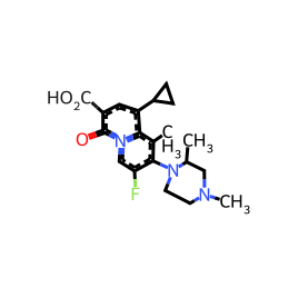 Cc1c(N2CCN(C)CC2C)c(F)cn2c(=O)c(C(=O)O)cc(C3CC3)c12